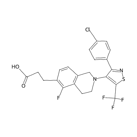 O=C(O)CCc1ccc2c(c1F)CCN(c1c(-c3ccc(Cl)cc3)nsc1C(F)(F)F)C2